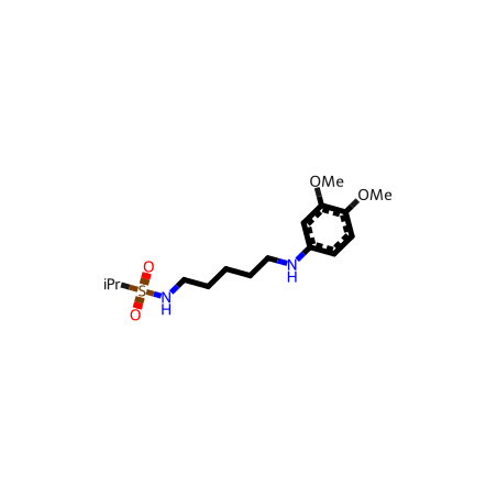 COc1ccc(NCCCCCNS(=O)(=O)C(C)C)cc1OC